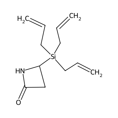 C=CC[Si](CC=C)(CC=C)C1CC(=O)N1